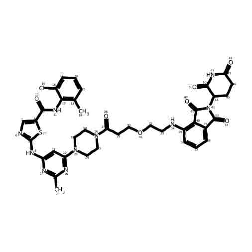 Cc1nc(Nc2ncc(C(=O)Nc3c(C)cccc3Cl)s2)cc(N2CCN(C(=O)CCOCCNc3cccc4c3C(=O)N(C3CCC(=O)NC3=O)C4=O)CC2)n1